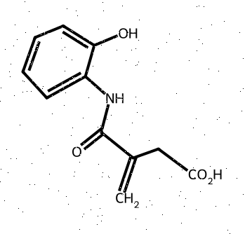 C=C(CC(=O)O)C(=O)Nc1ccccc1O